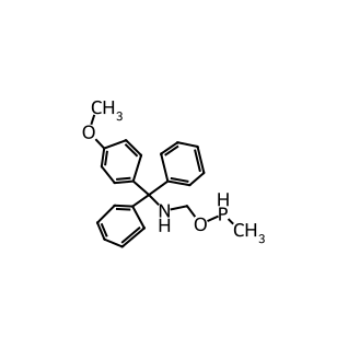 COc1ccc(C(NCOPC)(c2ccccc2)c2ccccc2)cc1